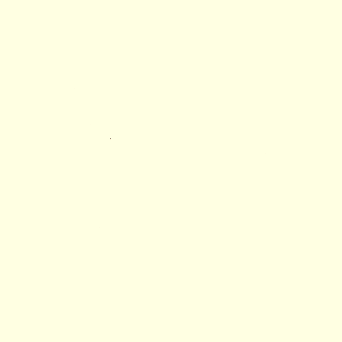 c1ccc(N(c2ccc(-c3cccc4ccccc34)cc2)c2ccc(-c3cccc4c3ccc3c5ccccc5ccc43)cc2)cc1